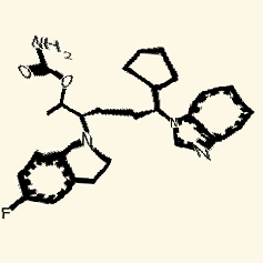 CC(OC(N)=O)[C@@H](CC[C@@H](C1CCCC1)n1cnc2ccccc21)N1CCc2cc(F)ccc21